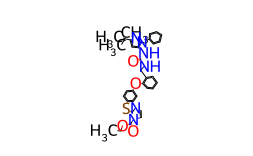 CCOC(=O)N1C=CN2c3cc(Oc4ccccc4CNC(=O)Nc4cc(C(C)(C)C)nn4-c4ccccc4)ccc3SC12